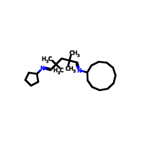 CC(C)(/C=N/C1CCCCCCCCCC1)CC(C)(C)/C=N/C1CCCC1